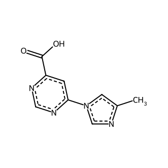 Cc1cn(-c2cc(C(=O)O)ncn2)cn1